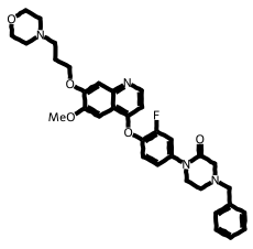 COc1cc2c(Oc3ccc(N4CCN(Cc5ccccc5)CC4=O)cc3F)ccnc2cc1OCCCN1CCOCC1